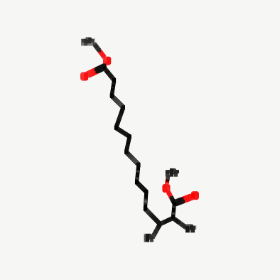 CCCOC(=O)CCCCCCCCCCC(C(C)C)C(C(=O)OCCC)C(C)C